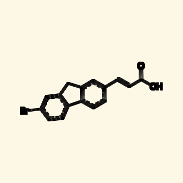 O=C(O)/C=C/c1ccc2c(c1)Cc1cc(Br)ccc1-2